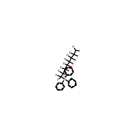 FC(F)C(F)(F)C(F)(F)C(F)(F)C(F)(F)C(F)(F)C(F)(F)C(F)(F)[PH](c1ccccc1)(c1ccccc1)c1ccccc1